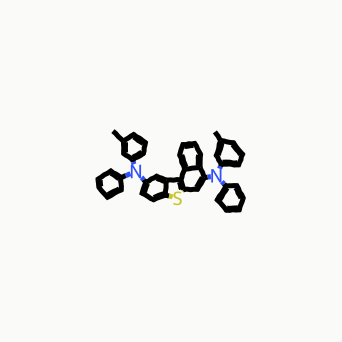 Cc1cccc(N(c2ccccc2)c2ccc3sc4cc(N(c5ccccc5)c5cccc(C)c5)c5ccccc5c4c3c2)c1